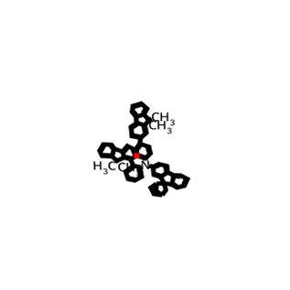 CC1(C)c2ccccc2-c2ccc(-c3ccc(N(c4ccc5c(c4)C4(CC6CCC4C6)c4ccccc4-5)c4ccccc4-c4cccc5c4C(C)(C)c4ccccc4-5)cc3)cc21